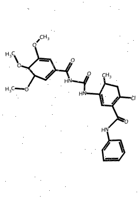 COC1=CC(C(=O)NC(=O)NC2=CC(C(=O)Nc3ccccc3)=C(Cl)CC2C)=CC(OC)C1OC